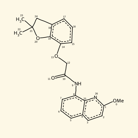 COc1ccc2cccc(NC(=O)COc3cccc4c3OC(C)(C)C4)c2n1